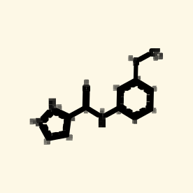 O=C(Nc1cccc(SC(F)(F)F)c1)c1ccn[nH]1